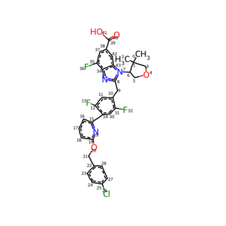 CC1(C)COCC1n1c(Cc2cc(F)c(-c3cccc(OCc4ccc(Cl)cc4)n3)cc2F)nc2c(F)cc(C(=O)O)cc21